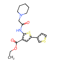 CCOC(=O)c1cc(-c2ccsc2)sc1NC(=O)CN1CCCCC1